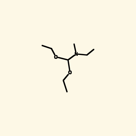 CCOC(OCC)N(C)CC